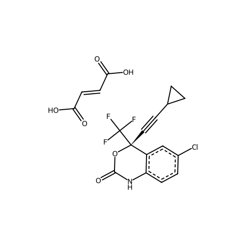 O=C(O)/C=C/C(=O)O.O=C1Nc2ccc(Cl)cc2[C@@](C#CC2CC2)(C(F)(F)F)O1